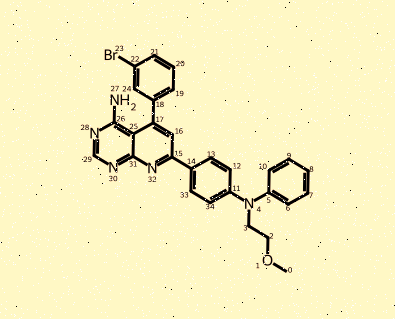 COCCN(c1ccccc1)c1ccc(-c2cc(-c3cccc(Br)c3)c3c(N)ncnc3n2)cc1